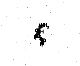 Nc1ccc(/C=C/C(=O)NCc2cc3cc(-c4ccc(C(=O)N5CC(F)(F)C5)cc4)cc(C(F)(F)F)c3o2)cn1